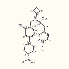 CC(=O)N1CCN(c2ccc(CN(C3CCC3)S(=O)(=O)Cc3ccc(F)cc3)c(F)c2)CC1